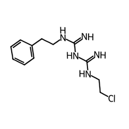 N=C(NCCCl)NC(=N)NCCc1ccccc1